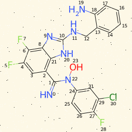 N=C(c1cc(F)c(F)c2nc(NCc3ccccc3N)[nH]c12)N(O)c1ccc(F)c(Cl)c1